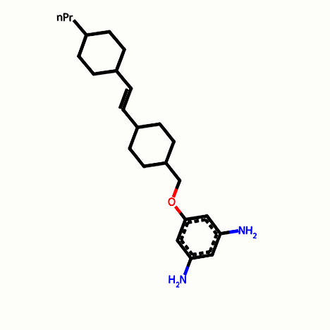 CCCC1CCC(/C=C/C2CCC(COc3cc(N)cc(N)c3)CC2)CC1